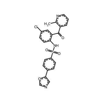 Cc1ncccc1C(=O)c1cc(Cl)ccc1NS(=O)(=O)c1ccc(-c2cnco2)cc1